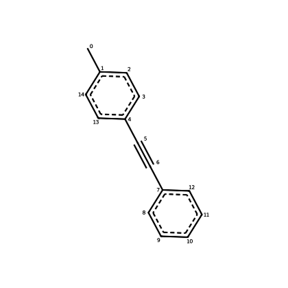 Cc1ccc(C#Cc2ccccc2)cc1